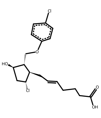 O=C(O)CCCC=CC[C@@H]1[C@@H](COc2ccc(Cl)cc2)[C@H](O)C[C@H]1Cl